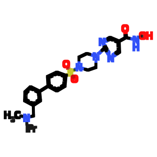 CC(C)N(C)Cc1cccc(-c2ccc(S(=O)(=O)N3CCN(c4ncc(C(=O)NO)cn4)CC3)cc2)c1